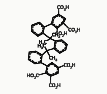 CC(C)(c1ccccc1-c1cc(C(=O)O)cc(C(=O)O)c1C(=O)O)c1ccccc1C(C)(C)c1ccccc1-c1cc(C(=O)O)cc(C(=O)O)c1C(=O)O